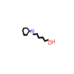 OCCCCCC[N]C1CCCCC1